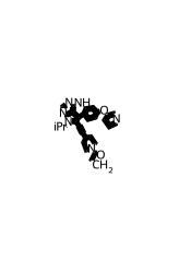 C=CC(=O)N1CCC(C#Cc2c(-c3ccc(Oc4cccnc4)cc3)c3c(N)ncnc3n2C(C)C)CC1